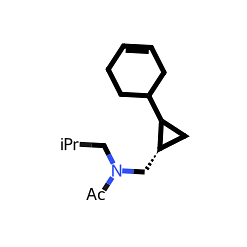 CC(=O)N(CC(C)C)C[C@H]1CC1C1CC=CCC1